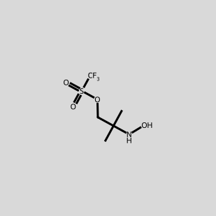 CC(C)(COS(=O)(=O)C(F)(F)F)NO